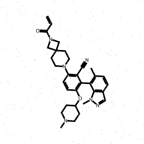 C=CC(=O)N1CC2(CCN(c3ccc(OC4CCN(C)CC4)c(-c4c(C)ccc5cnn(C)c45)c3C#N)CC2)C1